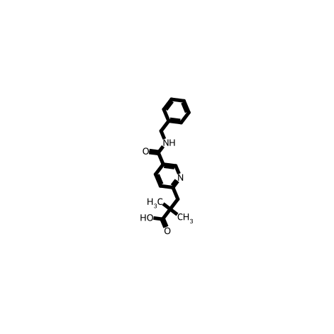 CC(C)(Cc1ccc(C(=O)NCc2ccccc2)cn1)C(=O)O